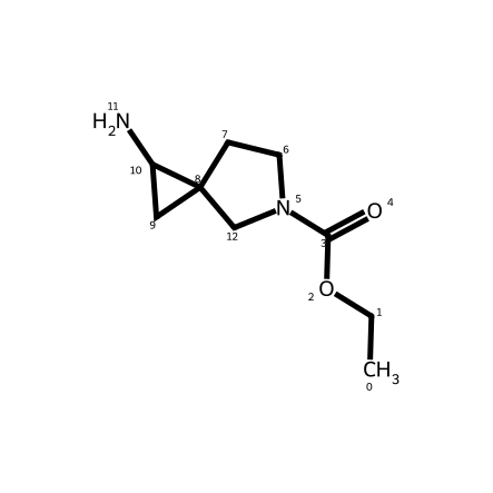 CCOC(=O)N1CCC2(CC2N)C1